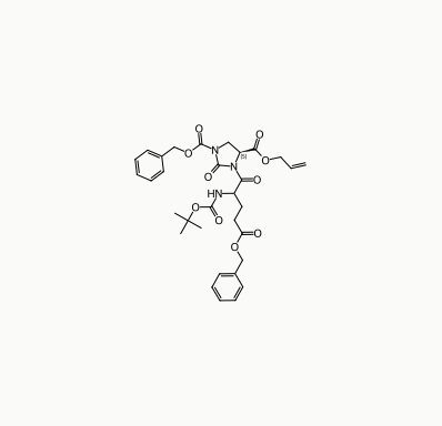 C=CCOC(=O)[C@@H]1CN(C(=O)OCc2ccccc2)C(=O)N1C(=O)C(CCC(=O)OCc1ccccc1)NC(=O)OC(C)(C)C